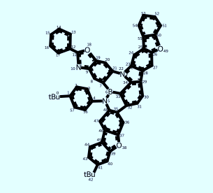 CC(C)(C)c1ccc(N2B3c4cc5nc(-c6ccccc6)oc5cc4-n4c5cc6c(cc5c5ccc(c3c54)-c3cc4oc5cc(C(C)(C)C)ccc5c4cc32)oc2ccccc26)cc1